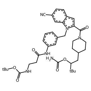 CC(C)(C)OC(=O)NCCC(=O)Nc1cccc(Cn2c(C(=O)N3CCC(CC(OC(N)=O)C(C)(C)C)CC3)cc3ccc(C#N)cc32)c1